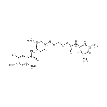 COc1cc(N)c(Cl)cc1C(=O)N[C@H]1CCN(CCCCCC(=O)Nc2cc(C)cc(C)n2)C[C@H]1OC